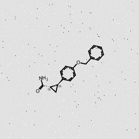 NC(=O)[C@H]1C[C@@H]1c1ccc(OCc2ccccc2)cc1